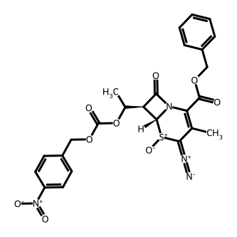 CC1=C(C(=O)OCc2ccccc2)N2C(=O)[C@H](C(C)OC(=O)OCc3ccc([N+](=O)[O-])cc3)[C@H]2[S+]([O-])C1=[N+]=[N-]